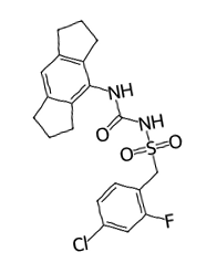 O=C(Nc1c2c(cc3c1CCC3)CCC2)NS(=O)(=O)Cc1ccc(Cl)cc1F